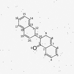 O=C1C2C=CC=CC2=CCC1C1[C]c2ccccc2C=C1